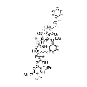 COC(=O)C(NC(=O)C(NC(=O)C(F)(F)[C@H](O)[C@H](Cc1ccccc1)NC(=O)[C@H](C)NC(=O)[C@H](C)N(C(=O)OC(C)(C)C)C(=O)[C@@H](N)COCc1ccccc1)C(C)C)C(C)C